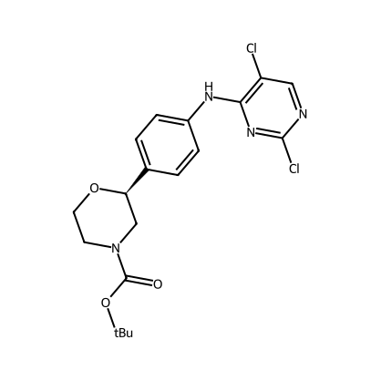 CC(C)(C)OC(=O)N1CCO[C@@H](c2ccc(Nc3nc(Cl)ncc3Cl)cc2)C1